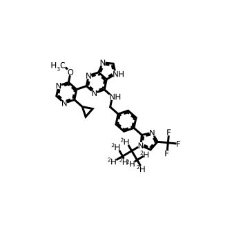 [2H]C([2H])([2H])C([2H])(n1cc(C(F)(F)F)nc1-c1ccc(CNc2nc(-c3c(OC)ncnc3C3CC3)nc3nc[nH]c23)cc1)C([2H])([2H])[2H]